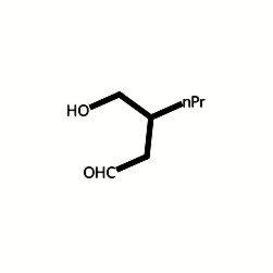 CCCC(CO)CC=O